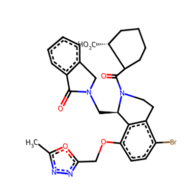 Cc1nnc(COc2ccc(Br)c3c2[C@@H](CN2Cc4ccccc4C2=O)N(C(=O)C2CCCC[C@H]2C(=O)O)CC3)o1